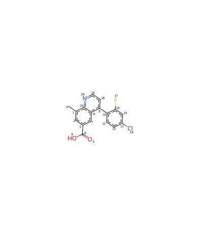 Cc1cc(C(=O)O)cc2c(-c3ccc(Cl)cc3F)ccnc12